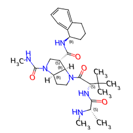 CNC(=O)N1C[C@H](C(=O)N[C@@H]2CCCc3ccccc32)[C@@H]2[C@H]1CCN2C(=O)[C@@H](NC(=O)[C@H](C)NC)C(C)(C)C